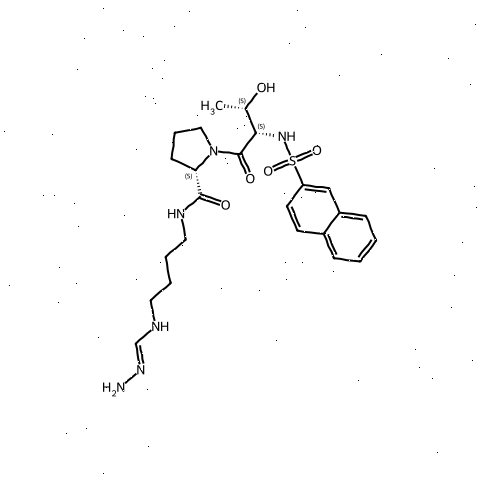 C[C@H](O)[C@H](NS(=O)(=O)c1ccc2ccccc2c1)C(=O)N1CCC[C@H]1C(=O)NCCCCNC=NN